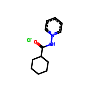 O=C(N[n+]1ccccc1)C1CCCCC1.[Cl-]